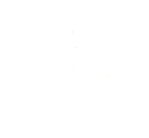 CCC(=O)Oc1cccc(CS)c1COc1cc(C)c(C)cc1Cl